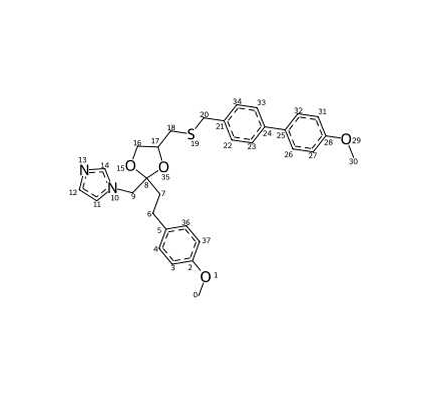 COc1ccc(CCC2(Cn3ccnc3)OCC(CSCc3ccc(-c4ccc(OC)cc4)cc3)O2)cc1